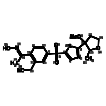 COC1(c2ncc(S(=O)(=O)c3ccc(/C(C)=N/O)c(CC#N)c3)s2)CCOC1C